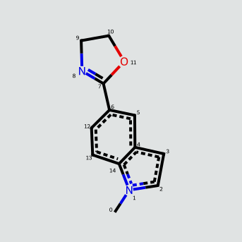 Cn1ccc2cc(C3=NCCO3)ccc21